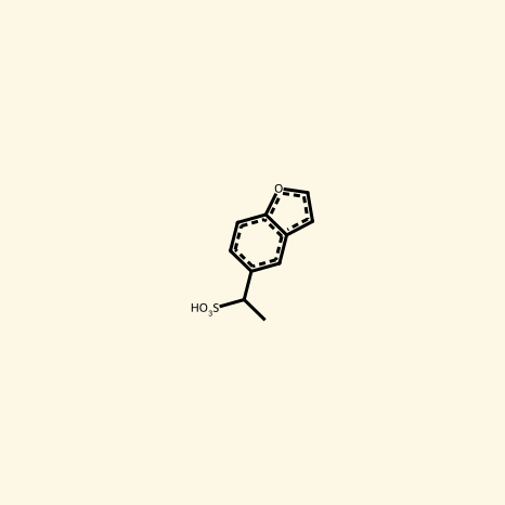 CC(c1ccc2occc2c1)S(=O)(=O)O